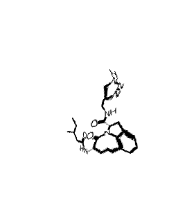 CC[C@H](C)CC(=O)N[C@H]1CCc2cccc3c2N(C1=O)[C@H](C(=O)NCc1c[nH]nn1)C3